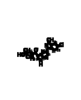 Cn1nc(-c2cnc3[nH]cc(C(=O)NCC(C)(C)O)c3n2)c2ccc(Cl)cc21